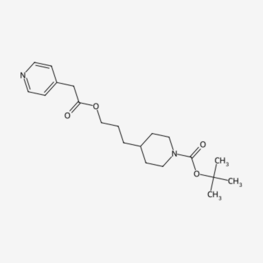 CC(C)(C)OC(=O)N1CCC(CCCOC(=O)Cc2ccncc2)CC1